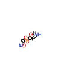 CN(C)C(=O)c1cccc(S(=O)(=O)c2ccc3c(c2)OC[C@H]2NCC[C@@H]32)c1